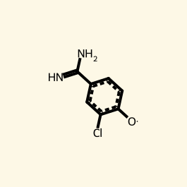 N=C(N)c1ccc([O])c(Cl)c1